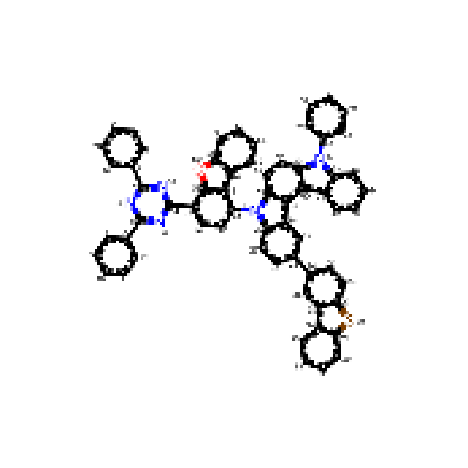 c1ccc(-c2nc(-c3ccccc3)nc(-c3ccc(-n4c5ccc(-c6ccc7sc8ccccc8c7c6)cc5c5c6c7ccccc7n(-c7ccccc7)c6ccc54)c4c3oc3ccccc34)n2)cc1